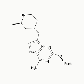 CCC[C@H](C)Oc1nc(N)c2ncc(C[C@H]3CCN[C@H](C)C3)n2n1